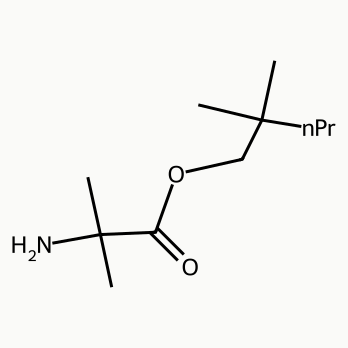 CCCC(C)(C)COC(=O)C(C)(C)N